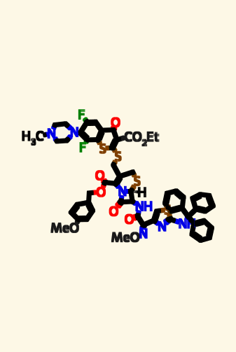 CCOC(=O)c1c(SCC2=C(C(=O)OCc3ccc(OC)cc3)N3C(=O)C(NC(=O)/C(=N\OC)c4csc(NC(c5ccccc5)(c5ccccc5)c5ccccc5)n4)[C@@H]3SC2)sc2c(F)c(N3CCN(C)CC3)c(F)cc2c1=O